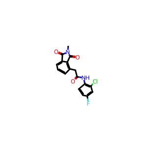 CN1C(=O)c2cccc(CC(=O)Nc3ccc(F)cc3Cl)c2C1=O